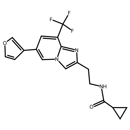 O=C(NCCc1cn2cc(-c3ccoc3)cc(C(F)(F)F)c2n1)C1CC1